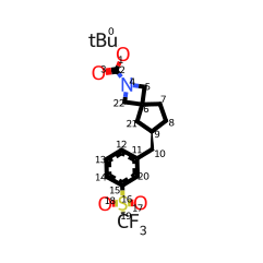 CC(C)(C)OC(=O)N1CC2(CC[C@@H](Cc3cccc(S(=O)(=O)C(F)(F)F)c3)C2)C1